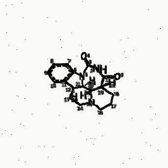 O=C1NC(=O)N2c3ccccc3[C@@H]3CCN4CCC[C@@H]1[C@@H]4[C@@H]32